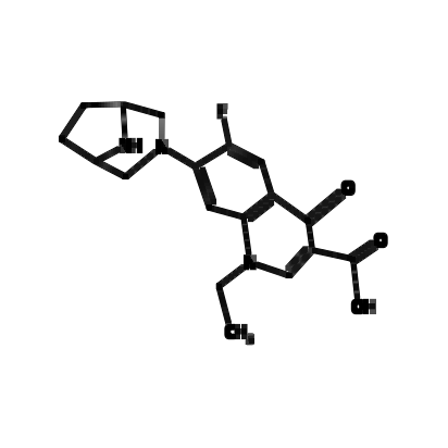 CCn1cc(C(=O)O)c(=O)c2cc(F)c(N3CC4CCC(C3)N4)cc21